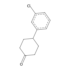 O=C1CCC(c2cccc(Cl)c2)CC1